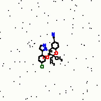 CC1(C)Oc2ccc(C#N)cc2[C@@H](n2nccc2-c2ccc(Cl)cc2)[C@@H]1O